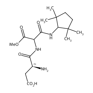 COC(=O)C(NC(=O)[C@@H](N)CC(=O)O)C(=O)NC1C(C)(C)CCC1(C)C